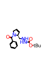 CC(C)(C)OC(=O)NNC[C@@H]1C=CCN1C(=O)c1ccccc1